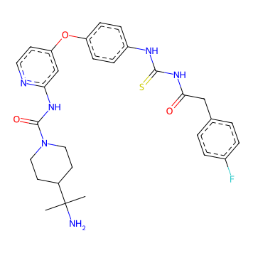 CC(C)(N)C1CCN(C(=O)Nc2cc(Oc3ccc(NC(=S)NC(=O)Cc4ccc(F)cc4)cc3)ccn2)CC1